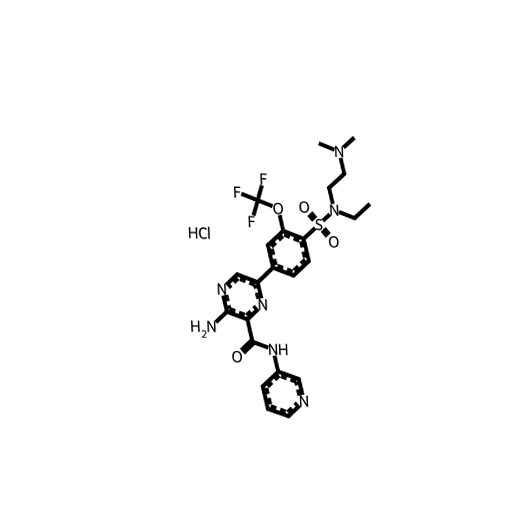 CCN(CCN(C)C)S(=O)(=O)c1ccc(-c2cnc(N)c(C(=O)Nc3cccnc3)n2)cc1OC(F)(F)F.Cl